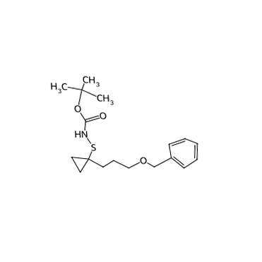 CC(C)(C)OC(=O)NSC1(CCCOCc2ccccc2)CC1